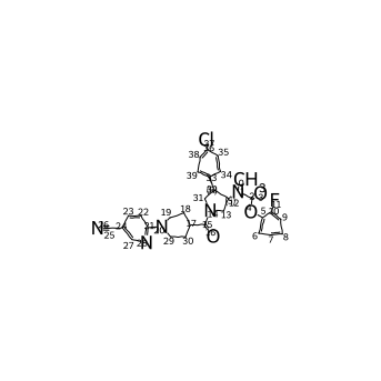 CN(C(=O)Oc1ccccc1F)[C@@H]1CN(C(=O)C2CCN(c3ccc(C#N)cn3)CC2)C[C@H]1c1ccc(Cl)cc1